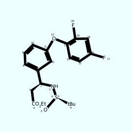 CCOC(=O)C[C@H](N[S@+]([O-])C(C)(C)C)c1cccc(Oc2ccc(F)cc2F)c1